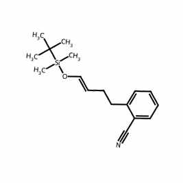 CC(C)(C)[Si](C)(C)OC=CCCc1ccccc1C#N